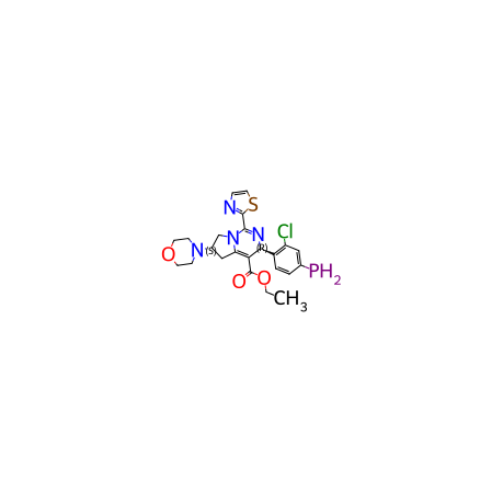 CCOC(=O)C1=C2C[C@H](N3CCOCC3)CN2C(c2nccs2)=N[C@H]1c1ccc(P)cc1Cl